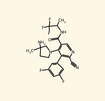 CC(NC(=O)c1cnc(C#N)c(-c2cc(F)cc(F)c2)c1N1CCC(C)(N)C1)C(F)(F)F